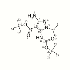 CC(C)n1nc(N)c(C(=O)OC(C)(C)C)c1NC(=O)OC(C)(C)C